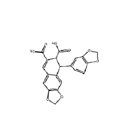 O=C(O)C1=Cc2cc3c(cc2C(c2ccc4c(c2)OCO4)C1C(=O)O)OCO3